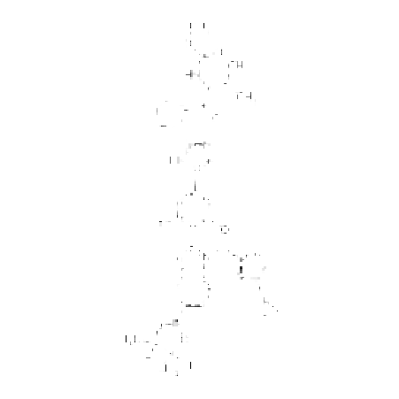 COC(=O)N[C@H](C(=O)N1CCC[C@H]1c1ncc(-c2cc(F)c3c(c2)O[C@@H](c2ccc(C4CC4)s2)n2c-3cc3cc(B4OC(C)(C)C(C)(C)O4)ccc32)[nH]1)C(C)C